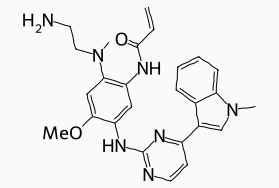 C=CC(=O)Nc1cc(Nc2nccc(-c3cn(C)c4ccccc34)n2)c(OC)cc1N(C)CCN